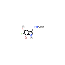 CCOc1cc2c(CCNC=O)cn(CC)c2c(Br)c1F